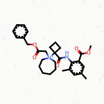 COC(=O)c1cc(C)cc(C)c1NC(=O)C1([N+]2(CC(=O)OCc3ccccc3)CCCCCC2)CCC1